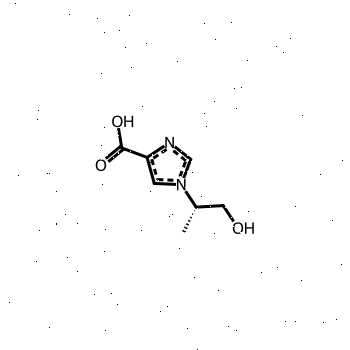 C[C@@H](CO)n1cnc(C(=O)O)c1